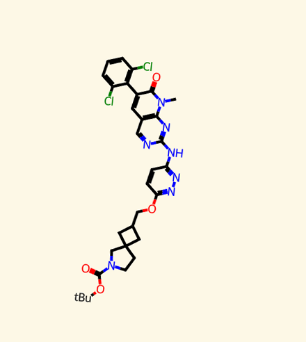 Cn1c(=O)c(-c2c(Cl)cccc2Cl)cc2cnc(Nc3ccc(OCC4CC5(CCN(C(=O)OC(C)(C)C)C5)C4)nn3)nc21